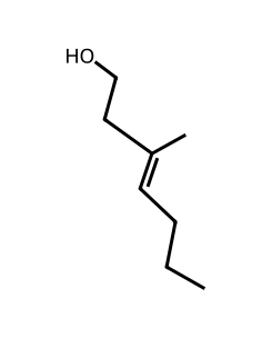 CCC/C=C(\C)CCO